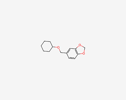 c1cc2c(cc1COC1CCCCC1)OCO2